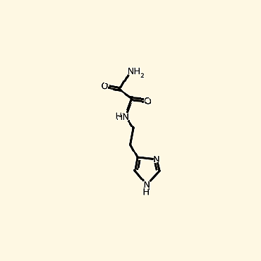 NC(=O)C(=O)NCCc1c[nH]cn1